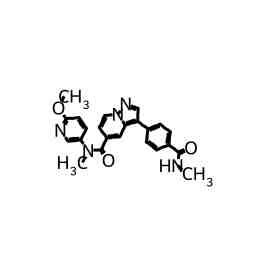 CNC(=O)c1ccc(-c2cnn3ccc(C(=O)N(C)c4ccc(OC)nc4)cc23)cc1